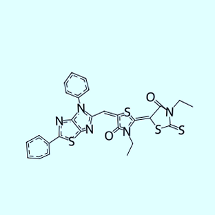 CCN1C(=O)/C(=c2\s/c(=C/c3nc4sc(-c5ccccc5)nc4n3-c3ccccc3)c(=O)n2CC)SC1=S